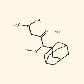 CCON(C(=O)CN(C)C)C12CC3CC(CC(C3)C1)C2.Cl